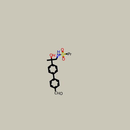 CC(C)S(=O)(=O)NCC(C)(O)c1ccc(-c2ccc(C=O)cc2)cc1